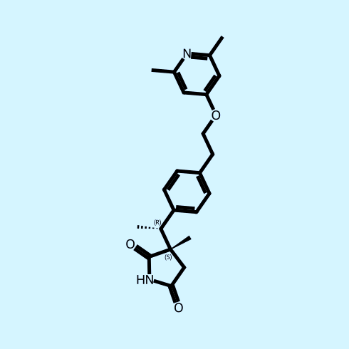 Cc1cc(OCCc2ccc([C@@H](C)[C@]3(C)CC(=O)NC3=O)cc2)cc(C)n1